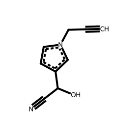 C#CCn1ccc(C(O)C#N)c1